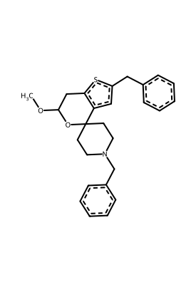 COC1Cc2sc(Cc3ccccc3)cc2C2(CCN(Cc3ccccc3)CC2)O1